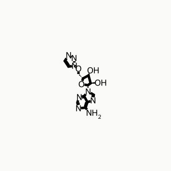 Nc1ncnc2c1ncn2[C@@H]1O[C@H](COn2ccnn2)[C@@H](O)[C@H]1O